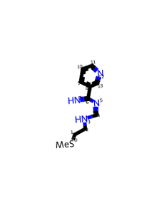 CSCCN/C=N\C(=N)c1cccnc1